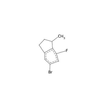 CC1CCc2cc(Br)cc(F)c21